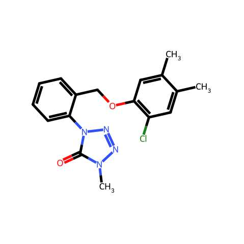 Cc1cc(Cl)c(OCc2ccccc2-n2nnn(C)c2=O)cc1C